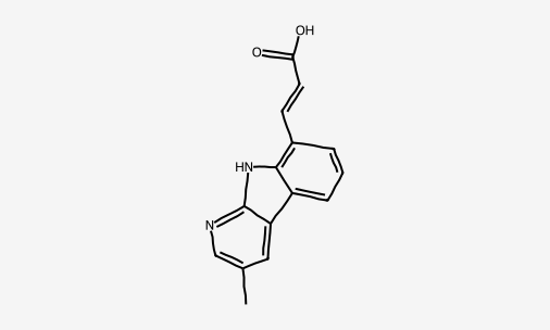 Cc1cnc2[nH]c3c(C=CC(=O)O)cccc3c2c1